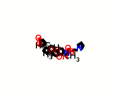 CN(C(=O)OCCN1CCCC1)[C@H]1CC[C@]2(C)[C@H]3CC[C@]4(C)[C@@H](c5ccc(=O)oc5)CC[C@]4(O)[C@@H]3CC[C@]2(O)C1